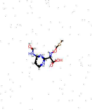 CSCON=C(C(=O)O)c1nccc(NC=O)n1